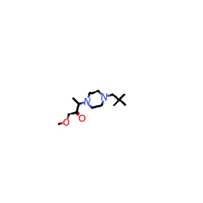 COCC(=O)C(C)N1CCN(CC(C)(C)C)CC1